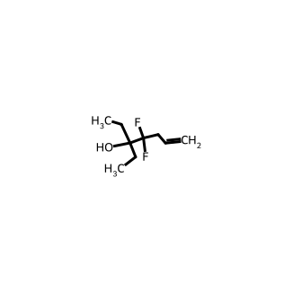 C=CCC(F)(F)C(O)(CC)CC